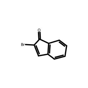 O=C1C(Br)=Cc2[c]cccc21